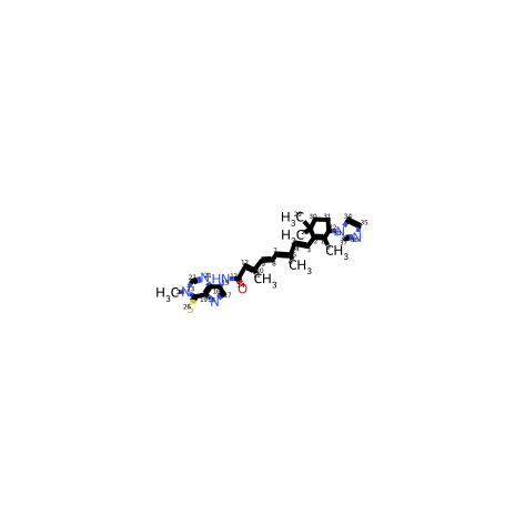 CC1=C(/C=C/C(C)=C/C=C/C(C)=C/C(=O)NC2C=Nc3c2ncn(C)c3=S)C(C)(C)CCC1n1ccnc1